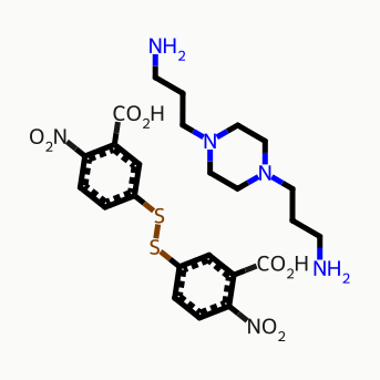 NCCCN1CCN(CCCN)CC1.O=C(O)c1cc(SSc2ccc([N+](=O)[O-])c(C(=O)O)c2)ccc1[N+](=O)[O-]